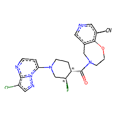 N#Cc1cncc2c1OCCN(C(=O)[C@H]1CCN(c3ccnc4c(Cl)cnn34)C[C@@H]1F)C2